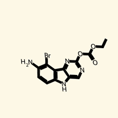 CCOC(=O)Oc1ncc2[nH]c3ccc(N)c(Br)c3c2n1